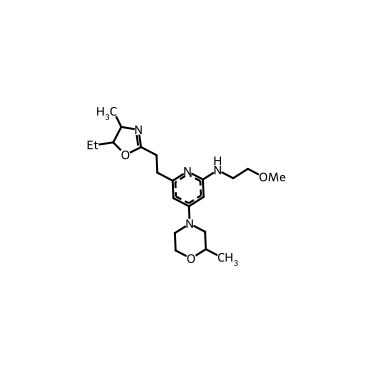 CCC1OC(CCc2cc(N3CCOC(C)C3)cc(NCCOC)n2)=NC1C